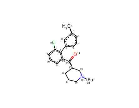 Cc1cccc(-c2c(Cl)cccc2C(=O)[C@@H]2CCCN(C(C)(C)C)C2)c1